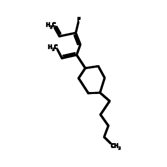 C=C/C(F)=C\C(=C/C)C1CCC(CCCCC)CC1